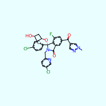 Cn1cc(C(=O)c2cc(F)c3c(c2)C(=O)N(Cc2ccc(Cl)cn2)[C@@]3(O[C@H]2C[C@@H](O)C2)c2ccc(Cl)cc2)cn1